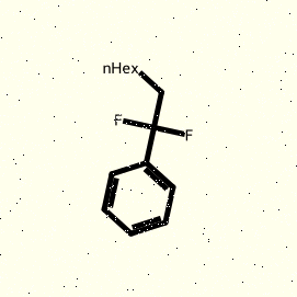 [CH2]CCCCCCC(F)(F)c1ccccc1